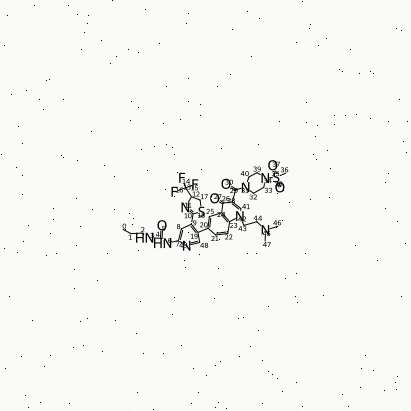 CCCNC(=O)Nc1cc(C2=NC(C(F)(F)F)CS2)c(-c2ccc3c(c2)c(=O)c(C(=O)N2CCN(S(C)(=O)=O)CC2)cn3CCN(C)C)cn1